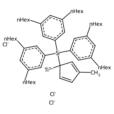 CCCCCCc1cc(CCCCCC)cc([Si](c2cc(CCCCCC)cc(CCCCCC)c2)(c2cc(CCCCCC)cc(CCCCCC)c2)[C]2([Ti+3])C=CC(C)=C2)c1.[Cl-].[Cl-].[Cl-]